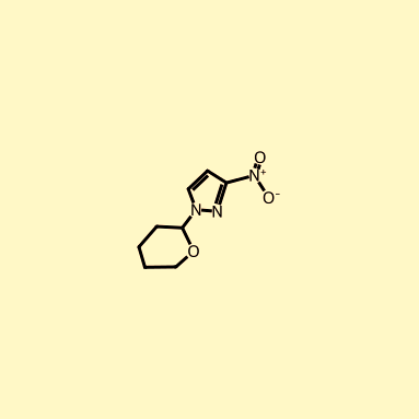 O=[N+]([O-])c1ccn(C2CCCCO2)n1